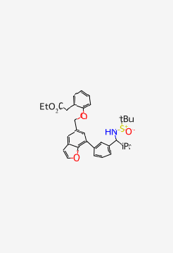 CCOC(=O)Cc1ccccc1OCc1cc(-c2cccc(C(N[S+]([O-])C(C)(C)C)C(C)C)c2)c2occc2c1